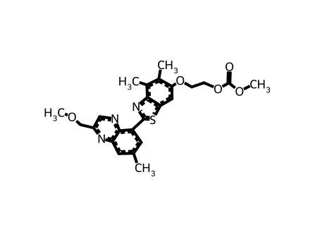 COCc1cnc2c(-c3nc4c(C)c(C)c(OCCOC(=O)OC)cc4s3)cc(C)cc2n1